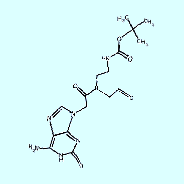 CC(C)(C)OC(=O)NCCN(CC=O)C(=O)Cn1cnc2c(N)[nH]c(=O)nc21